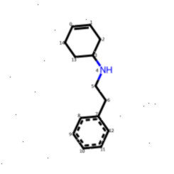 C1=CCC(NCCc2ccccc2)CC1